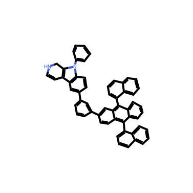 C1=Cc2c(n(-c3ccccc3)c3ccc(-c4cccc(-c5ccc6c(-c7cccc8ccccc78)c7ccccc7c(-c7cccc8ccccc78)c6c5)c4)cc23)CN1